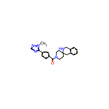 Cn1ncnc1-c1ccc(C(=O)N2CCC3(CC2)Cc2ccccc2CN3)cc1